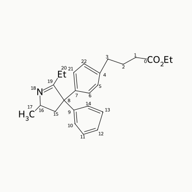 CCOC(=O)CCCc1ccc(C2(c3ccccc3)CC(C)N=C2CC)cc1